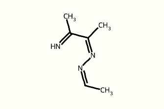 C/C=N\N=C(\C)C(C)=N